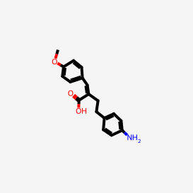 COc1ccc(C=C(CCc2ccc(N)cc2)C(=O)O)cc1